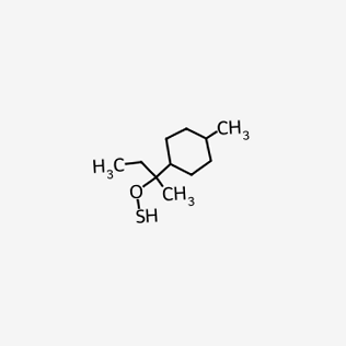 CCC(C)(OS)C1CCC(C)CC1